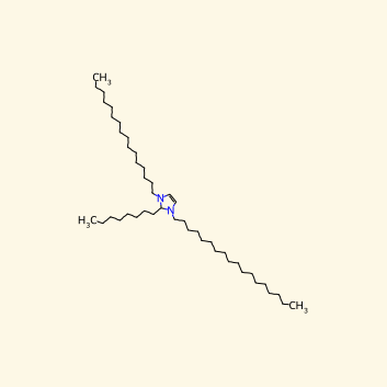 CCCCCCCCCCCCCCCCCCN1C=CN(CCCCCCCCCCCCCCCC)C1CCCCCCCC